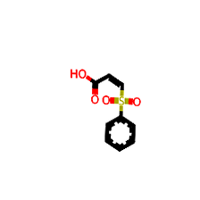 O=C(O)/C=C\S(=O)(=O)c1ccccc1